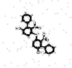 O=[N+]([O-])c1c(Sc2ccc(O)c(-c3ccccc3)c2[N+](=O)[O-])ccc(O)c1-c1ccccc1